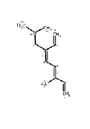 C=C/C(C)=C/C=C(\C=C)CN(C)C